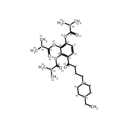 CCN1CCN(CCCC(=O)c2ccc(OC(=O)N(C)C)c(OC(=O)N(C)C)c2OC(=O)N(C)C)CC1